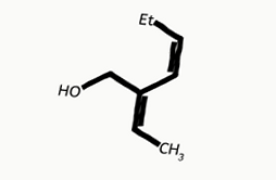 C/C=C(\C=C/CC)CO